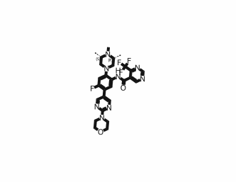 C[C@@H]1CN(c2cc(F)c(-c3cnc(N4CCOCC4)nc3)cc2NC(=O)c2cncnc2C(F)(F)F)C[C@H](C)N1C